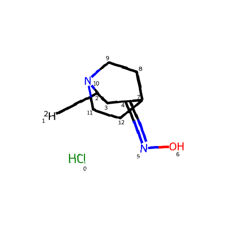 Cl.[2H]C1CC(=NO)C2CCN1CC2